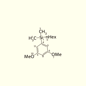 CCCCCC[Si](C)(C)c1cc(OC)cc(OC)c1